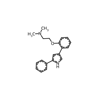 CN(C)CCOc1ccccc1-c1c[nH]c(-c2ccccc2)c1